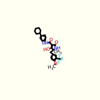 COc1ccc(CC2(C)NC(=O)C(C(=O)Nc3ccc(C4CCCCC4)cc3)=C2O)cc1C(F)(F)F